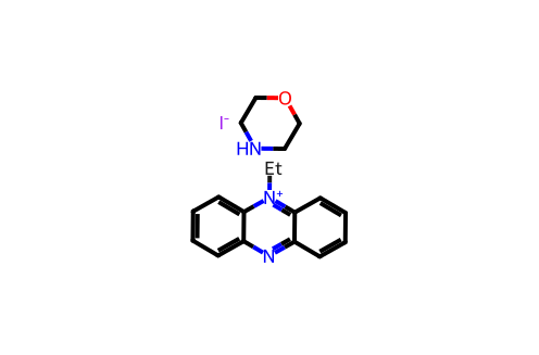 C1COCCN1.CC[n+]1c2ccccc2nc2ccccc21.[I-]